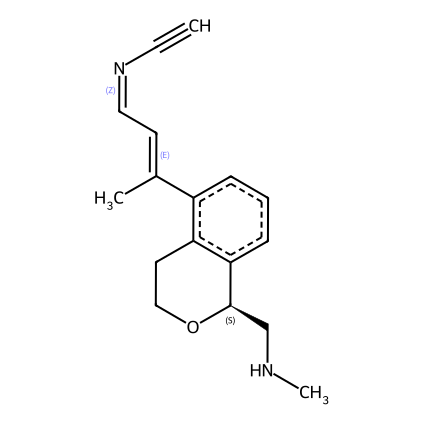 C#C/N=C\C=C(/C)c1cccc2c1CCO[C@@H]2CNC